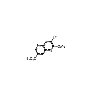 CCOC(=O)c1cnc2cc(CC)c(OC)nc2c1